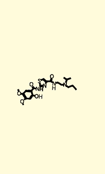 CCCN(CCNC(=O)c1csc(NC(=O)c2cc(OC)c(OC)cc2O)n1)C(C)C